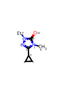 CCn1nc(C2CC2)n(C)c1=O